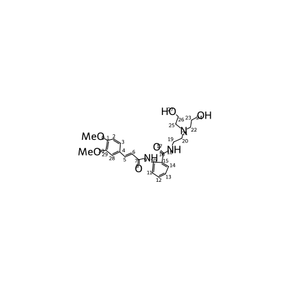 COc1ccc(/C=C/C(=O)Nc2ccccc2C(=O)NCCN(CCO)CCO)cc1OC